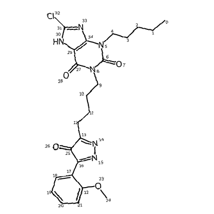 CCCCCn1c(=O)n(CCCCC2=NN=C(c3ccccc3OC)C2=O)c(=O)c2[nH]c(Cl)nc21